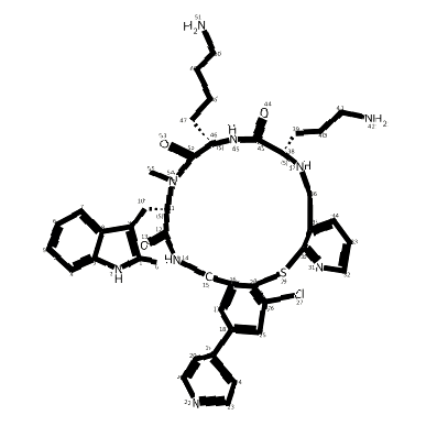 Cc1[nH]c2ccccc2c1C[C@H]1C(=O)NCc2cc(-c3ccncc3)cc(Cl)c2Sc2ncccc2CN[C@@H](CCCN)C(=O)N[C@@H](CCCCN)C(=O)N1C